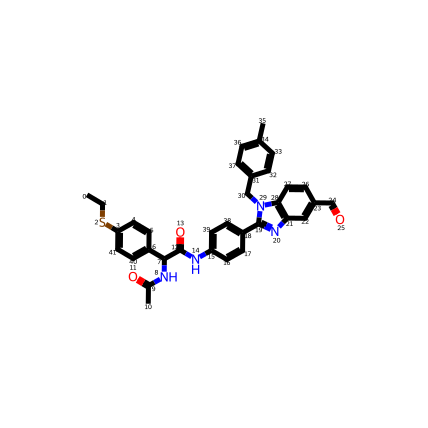 CCSc1ccc(C(NC(C)=O)C(=O)Nc2ccc(-c3nc4cc(C=O)ccc4n3Cc3ccc(C)cc3)cc2)cc1